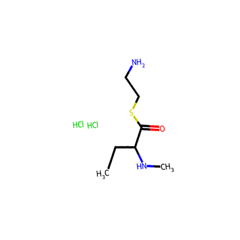 CCC(NC)C(=O)SCCN.Cl.Cl